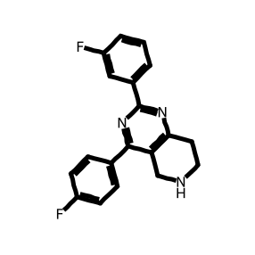 Fc1ccc(-c2nc(-c3cccc(F)c3)nc3c2CNCC3)cc1